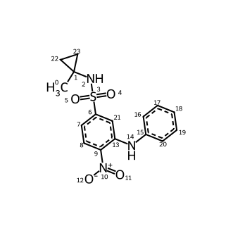 CC1(NS(=O)(=O)c2ccc([N+](=O)[O-])c(Nc3ccccc3)c2)CC1